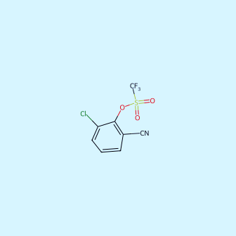 N#Cc1cccc(Cl)c1OS(=O)(=O)C(F)(F)F